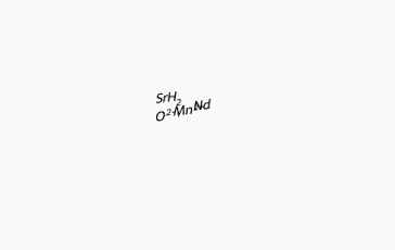 [Mn+2].[Nd].[O-2].[SrH2]